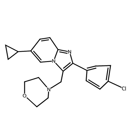 Clc1ccc(-c2nc3ccc(C4CC4)cn3c2CN2CCOCC2)cc1